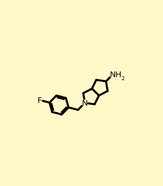 NC1CC2CN(Cc3ccc(F)cc3)CC2C1